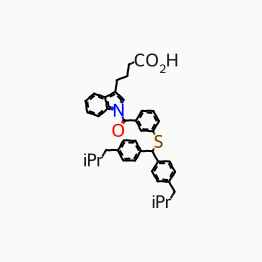 CC(C)Cc1ccc(C(Sc2cccc(C(=O)n3cc(CCCC(=O)O)c4ccccc43)c2)c2ccc(CC(C)C)cc2)cc1